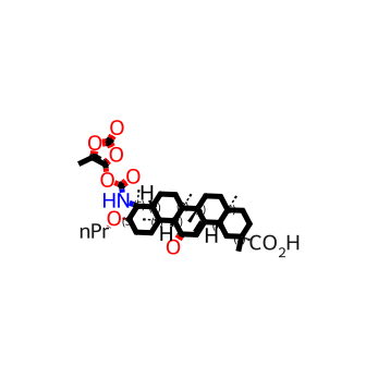 CCCO[C@H]1CC[C@@]2(C)[C@@H](CC[C@]3(C)[C@@H]2C(=O)C=C2[C@@H]4C[C@@](C)(C(=O)O)CC[C@]4(C)CC[C@]23C)[C@]1(C)NC(=O)Oc1oc(=O)oc1C